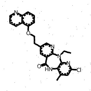 CCN1c2ncc(CCOc3cccc4ncccc34)cc2C(=O)Nc2c(C)cc(Cl)nc21